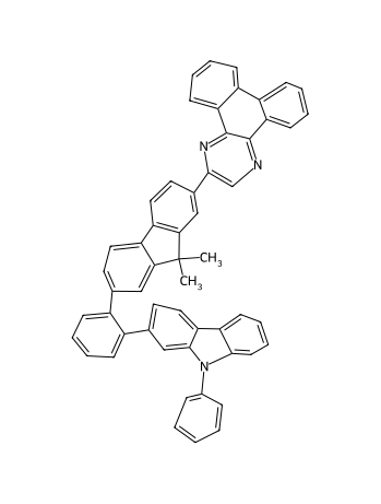 CC1(C)c2cc(-c3cnc4c5ccccc5c5ccccc5c4n3)ccc2-c2ccc(-c3ccccc3-c3ccc4c5ccccc5n(-c5ccccc5)c4c3)cc21